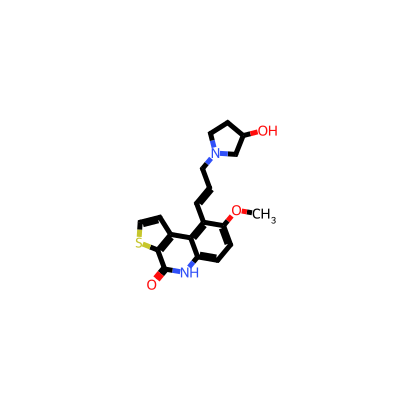 COc1ccc2[nH]c(=O)c3sccc3c2c1C=CCN1CCC(O)C1